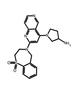 NC1CCN(c2cc(N3CCS(=O)(=O)c4ccccc4C3)nc3ccncc23)C1